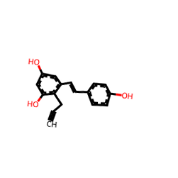 C#CCc1c(O)cc(O)cc1C=Cc1ccc(O)cc1